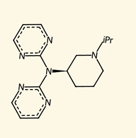 CC(C)N1CCC[C@@H](N(c2ncccn2)c2ncccn2)C1